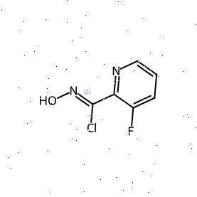 O/N=C(\Cl)c1ncccc1F